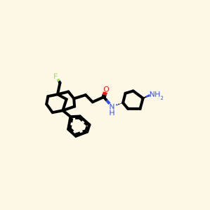 N[C@H]1CC[C@H](NC(=O)CCC2CC3(CF)CCCC(c4ccccc4)(C2)C3)CC1